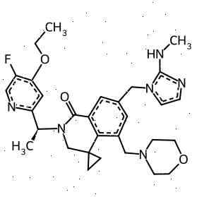 CCOc1cc([C@H](C)N2CC3(CC3)c3c(CN4CCOCC4)cc(Cn4ccnc4NC)cc3C2=O)ncc1F